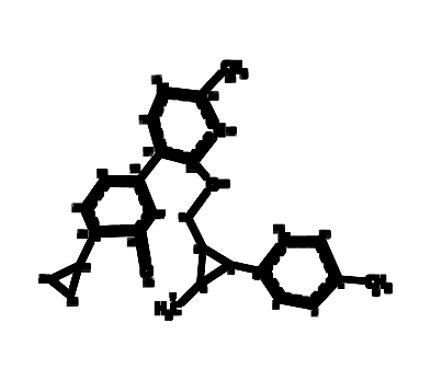 Cc1ccc(C2C(C)C2COc2nc(C)ncc2-c2ccn(C3CC3)c(=O)c2)nc1